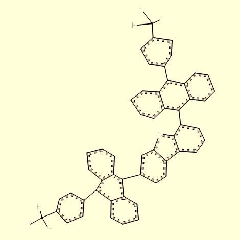 FC(F)(F)c1ccc(-c2c3ccccc3c(-c3ccc4c(c3)sc3c(-c5c6ccccc6c(-c6ccc(C(F)(F)F)cc6)c6ccccc56)cccc34)c3ccccc23)cc1